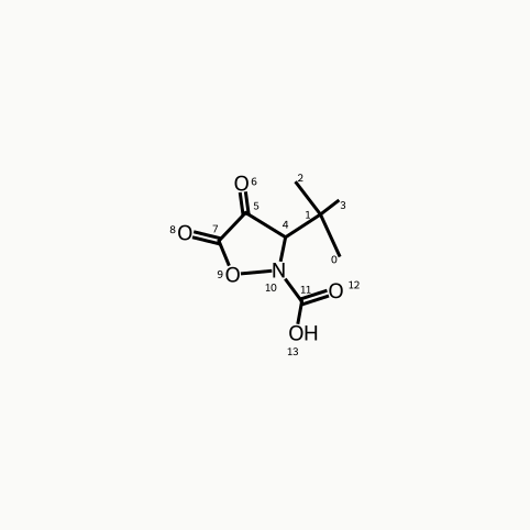 CC(C)(C)C1C(=O)C(=O)ON1C(=O)O